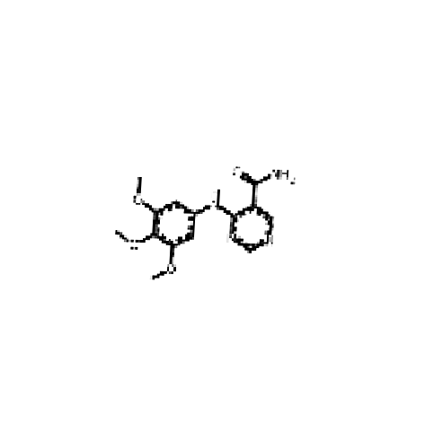 COc1cc(Nc2ncncc2C(N)=O)cc(OC)c1OC